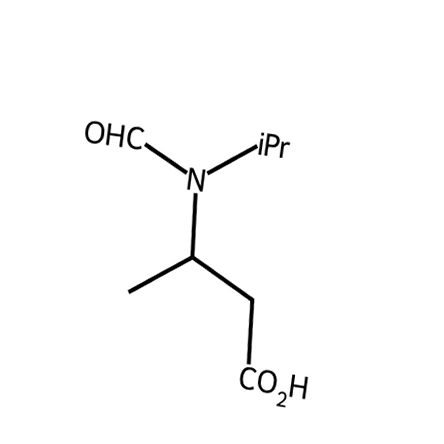 CC(C)N(C=O)C(C)CC(=O)O